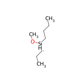 CC[CH][SiH](CCCC)OC